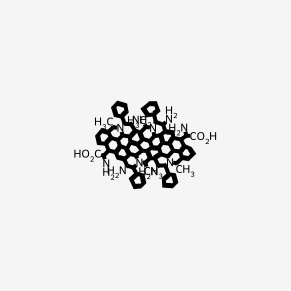 CC1c2cccc3c2C2c4c(cc5c6c4-c4c7c8c(c9c4C2N1C(c1ccccc1)C9N)C(C)N1C(c2ccccc2)C(N)c2cc4c9c%10c2C1C8c1c-%10c2c(c8c1C7C6N(C8C)C(c1ccccc1)C5N)C(N)C(c1ccccc1)N1C(C)c5cccc(c5C9C21)C4C(N)C(=O)O)C3C(N)C(=O)O